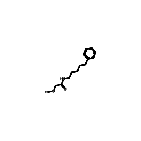 CCOCC(=O)NCCCCCc1ccccc1